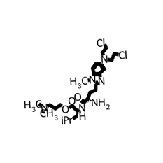 CC(C)C[C@H](NC(=O)[C@@H](N)CCc1nc2cc(N(CCCl)CCCl)ccc2n1C)C(=O)OCCCN(C)C